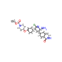 CC(C)(C)OC(=O)N1CCC(Oc2ccc(-c3cc(-c4ccc5c(c4)CCNC5=O)c(N)nc3F)cc2)CC1